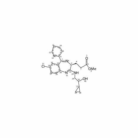 COC(=O)CC[C@@H]1N=C(c2ccccn2)c2cc(Cl)ccc2N=C1NCC(O)C1CC1